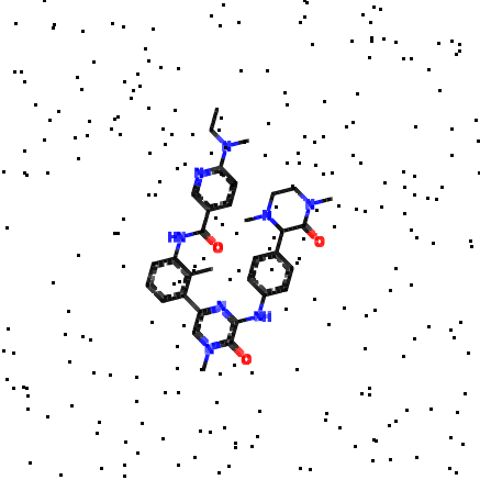 CCN(C)c1ccc(C(=O)Nc2cccc(-c3cn(C)c(=O)c(Nc4ccc(C5C(=O)N(C)CCN5C)cc4)n3)c2C)cn1